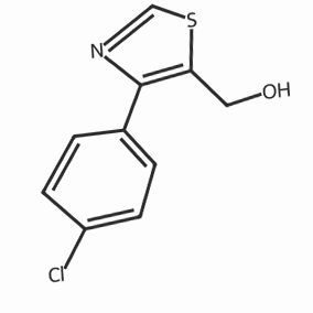 OCc1scnc1-c1ccc(Cl)cc1